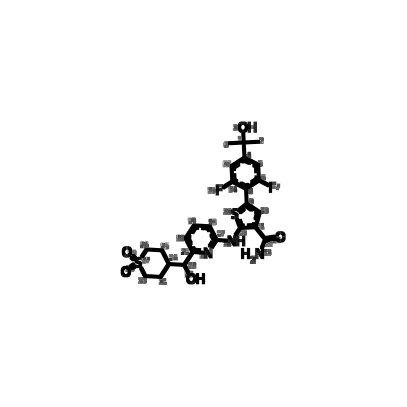 CC(C)(O)c1cc(F)c(-c2cc(C(N)=O)c(Nc3cccc(C(O)C4CCS(=O)(=O)CC4)n3)s2)c(F)c1